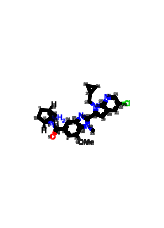 COc1cc(C(=O)N2C[C@H]3CC[C@@H]2[C@@H]3N)cc2nc(-c3cc4cc(Cl)cnc4n3CC3CC3)n(C)c12